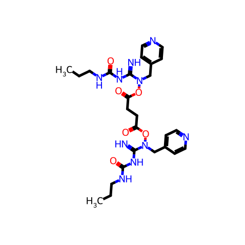 CCCNC(=O)NC(=N)N(Cc1ccncc1)OC(=O)CCC(=O)ON(Cc1ccncc1)C(=N)NC(=O)NCCC